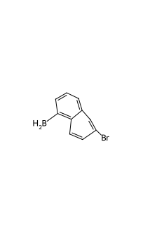 Bc1cccc2cc(Br)ccc12